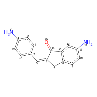 Nc1ccc(C=C2Cc3ccc(N)cc3C2=O)cc1